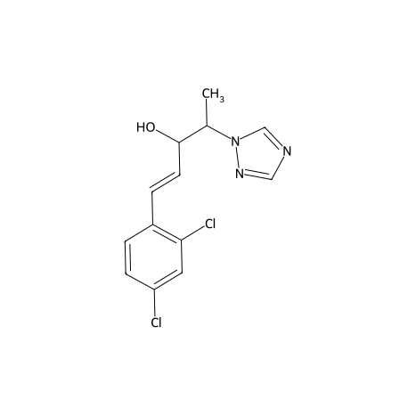 CC(C(O)/C=C/c1ccc(Cl)cc1Cl)n1cncn1